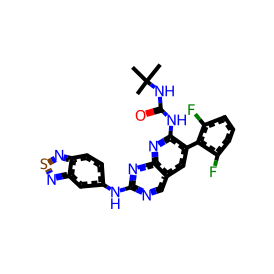 CC(C)(C)NC(=O)Nc1nc2nc(Nc3ccc4nsnc4c3)ncc2cc1-c1c(F)cccc1F